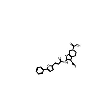 N#Cc1c(NC(=O)C=Cc2ccc(-c3ccccc3)o2)sc2c1CCN(C(=O)O)C2